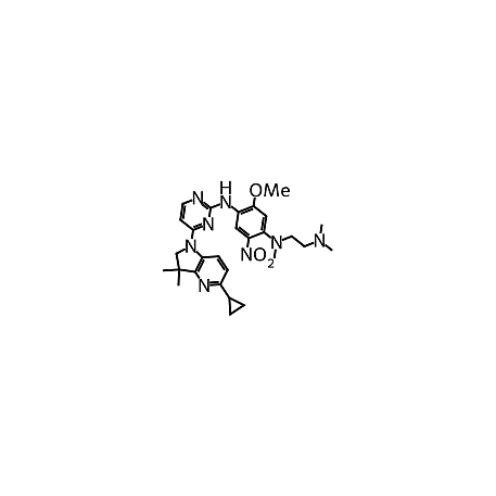 COc1cc(N(C)CCN(C)C)c([N+](=O)[O-])cc1Nc1nccc(N2CC(C)(C)c3nc(C4CC4)ccc32)n1